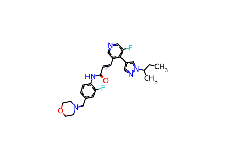 CCC(C)n1cc(-c2c(F)cncc2/C=C/C(=O)Nc2ccc(CN3CCOCC3)cc2F)cn1